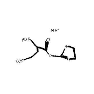 O=C([O-])CC(C(=O)OC1=NCCS1)S(=O)(=O)O.[Na+]